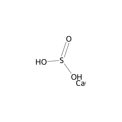 O=S(O)O.[Ca]